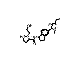 CCC1NC(c2ccc3c(c2)CC[C@H]3NC(=O)C2CCNN2CCO)NO1